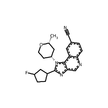 C[C@@H]1C[C@H](n2c(C3CCC(F)C3)nc3cnc4ccc(C#N)cc4c32)CCO1